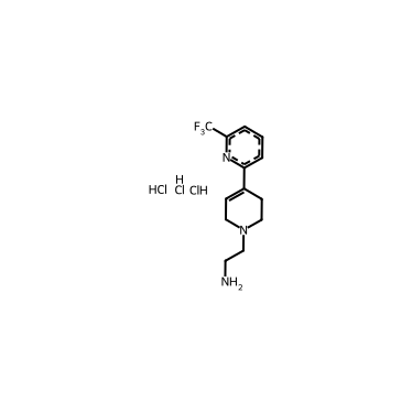 Cl.Cl.Cl.NCCN1CC=C(c2cccc(C(F)(F)F)n2)CC1